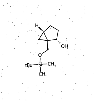 CC(C)(C)[Si](C)(C)OC[C@@]12C[C@@H]1CC[C@@H]2O